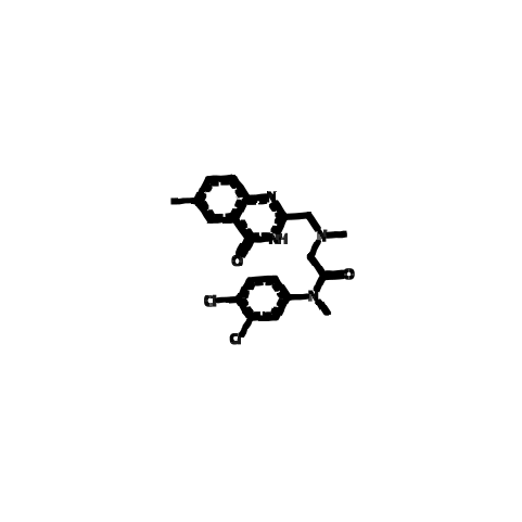 Cc1ccc2nc(CN(C)CC(=O)N(C)c3ccc(Cl)c(Cl)c3)[nH]c(=O)c2c1